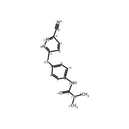 CN(C)C(=O)Nc1ccc(Sc2ccc(C#N)nn2)cc1